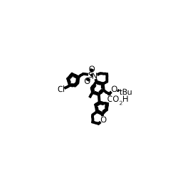 Cc1cc2c(c(C(OC(C)(C)C)C(=O)O)c1-c1ccc3c(c1)CCCO3)CCCN2S(=O)(=O)Cc1ccc(Cl)cc1